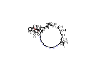 C[C@@H]1[C@H](O)[C@@H](C)/C=C/C=C/C=C/C=C/C=C/C=C/C=C/[C@H](O[C@H]2O[C@@H](C)[C@@H](O)[C@H](N)[C@@H]2O)C[C@@H]2O[C@](O)(C[C@@H](O)C[C@@H](O)[C@H](O)CC[C@@H](O)C[C@@H](O)CC(=O)O[C@H]1C)C[C@H](O)[C@H]2C(=O)NNC(=O)c1cccnc1